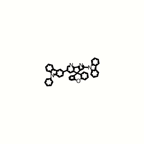 c1ccc(-n2c3ccccc3c3cc(-c4cnc5c(c4)C4(c6ccccc6Oc6ccccc64)c4cc(-n6c7ccccc7c7ccccc76)cnc4-5)ccc32)cc1